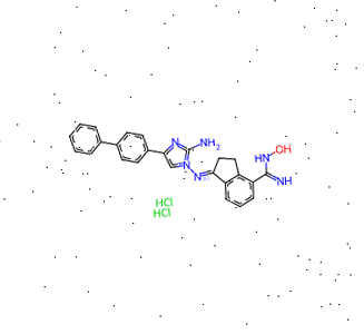 Cl.Cl.N=C(NO)c1cccc2c1CC/C2=N\n1cc(-c2ccc(-c3ccccc3)cc2)nc1N